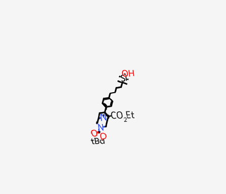 CCOC(=O)C1=C(c2ccc(CCCCC(C)(C)[Si](C)(C)O)cc2)CC2CN(C(=O)OC(C)(C)C)CC1N2C